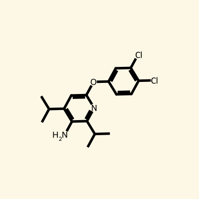 CC(C)c1cc(Oc2ccc(Cl)c(Cl)c2)nc(C(C)C)c1N